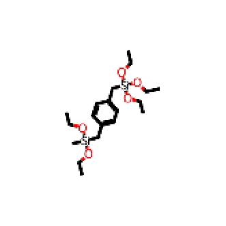 CCO[Si](C)(Cc1ccc(C[Si](OCC)(OCC)OCC)cc1)OCC